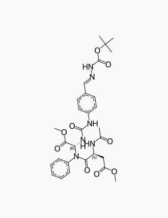 COC(=O)C[C@H](NC(C)=O)C(=O)N(c1ccccc1)[C@@H](NC(=O)Nc1ccc(C=NNC(=O)OC(C)(C)C)cc1)C(=O)OC